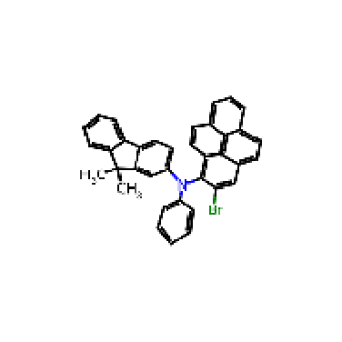 CC1(C)c2ccccc2-c2ccc(N(c3ccccc3)c3c(Br)cc4ccc5cccc6ccc3c4c56)cc21